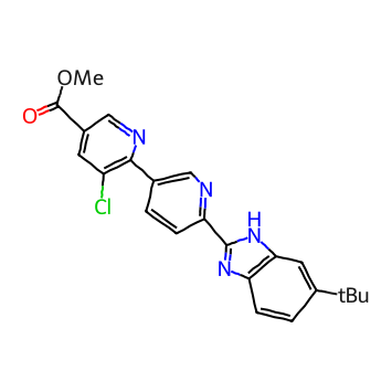 COC(=O)c1cnc(-c2ccc(-c3nc4ccc(C(C)(C)C)cc4[nH]3)nc2)c(Cl)c1